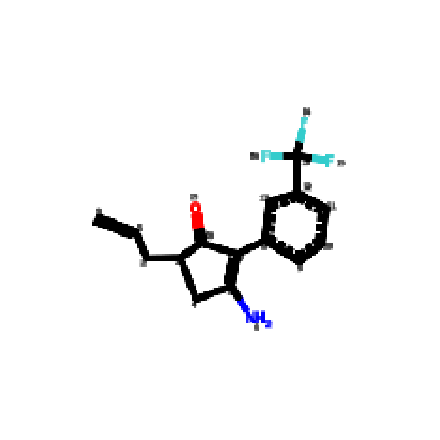 C=CCC1CC(N)=C(c2cccc(C(F)(F)F)c2)C1=O